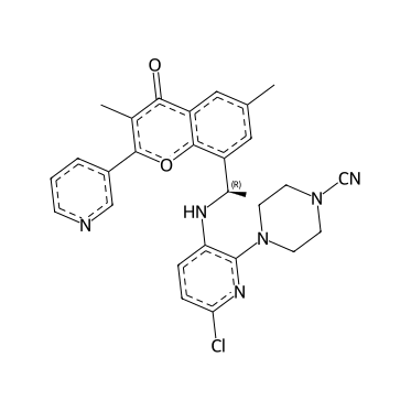 Cc1cc([C@@H](C)Nc2ccc(Cl)nc2N2CCN(C#N)CC2)c2oc(-c3cccnc3)c(C)c(=O)c2c1